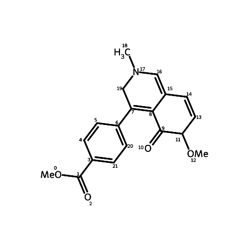 COC(=O)c1ccc(C2=C3C(=O)C(OC)C=CC3=CN(C)C2)cc1